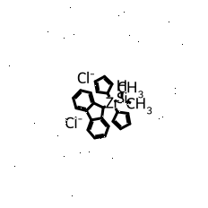 C[SiH](C)[Zr]([CH]1C=CC=C1)([CH]1C=CC=C1)[CH]1c2ccccc2-c2ccccc21.[Cl-].[Cl-]